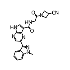 Cn1nc(-c2cnc3[nH]cc(C(=O)NCC(=O)N4CC(C#N)C4)c3n2)c2ccccc21